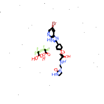 O=C(O)C(F)(F)F.O=C(O)C(F)(F)F.O=C1NCCN1CCNCC(O)COc1ccc(-c2nc3cc(Br)cnc3[nH]2)cc1